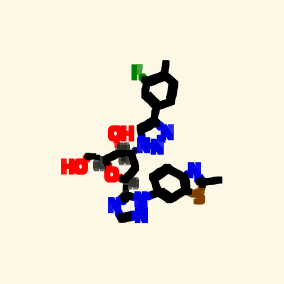 Cc1nc2ccc(-n3ncnc3[C@H]3C[C@@H](n4cc(-c5ccc(C)c(F)c5)nn4)[C@@H](O)[C@@H](CO)O3)cc2s1